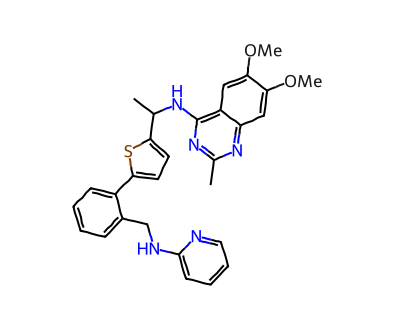 COc1cc2nc(C)nc(NC(C)c3ccc(-c4ccccc4CNc4ccccn4)s3)c2cc1OC